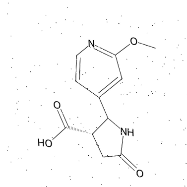 COc1cc(C2NC(=O)C[C@@H]2C(=O)O)ccn1